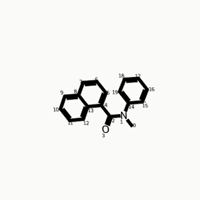 CN(C(=O)c1cccc2ccccc12)c1[c]cccc1